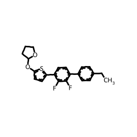 CCc1ccc(-c2ccc(-c3ccc(OC4CCCO4)s3)c(F)c2F)cc1